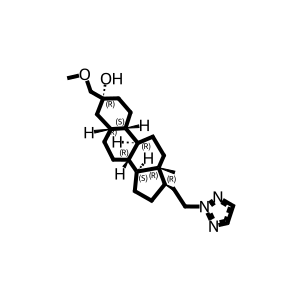 COC[C@@]1(O)CC[C@H]2[C@H](CC[C@@H]3[C@@H]2CC[C@]2(C)[C@@H](CCn4nccn4)CC[C@@H]32)C1